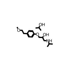 CC(C)O.COCCc1ccc(OCC(O)CNC(C)C)cc1